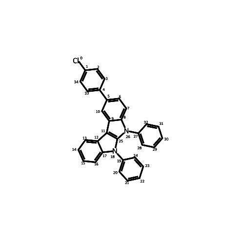 Clc1ccc(-c2ccc3c(c2)c2c4ccccc4n(-c4ccccc4)c2n3-c2ccccc2)cc1